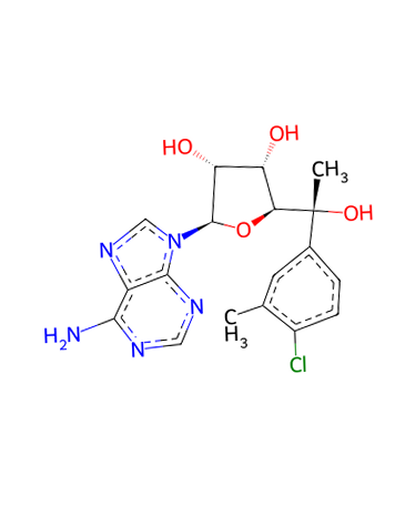 Cc1cc([C@@](C)(O)[C@H]2O[C@@H](n3cnc4c(N)ncnc43)[C@H](O)[C@@H]2O)ccc1Cl